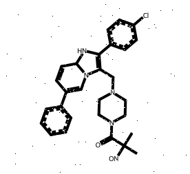 CC(C)(N=O)C(=O)N1CCN(CC2=C(c3ccc(Cl)cc3)NC3C=CC(c4ccccc4)=CN23)CC1